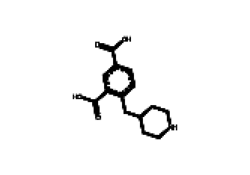 O=C(O)c1ccc(CC2CCNCC2)c(C(=O)O)c1